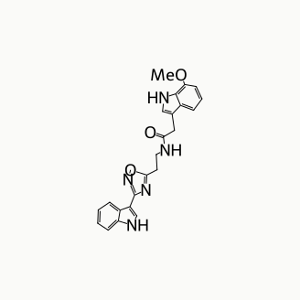 COc1cccc2c(CC(=O)NCCc3nc(-c4c[nH]c5ccccc45)no3)c[nH]c12